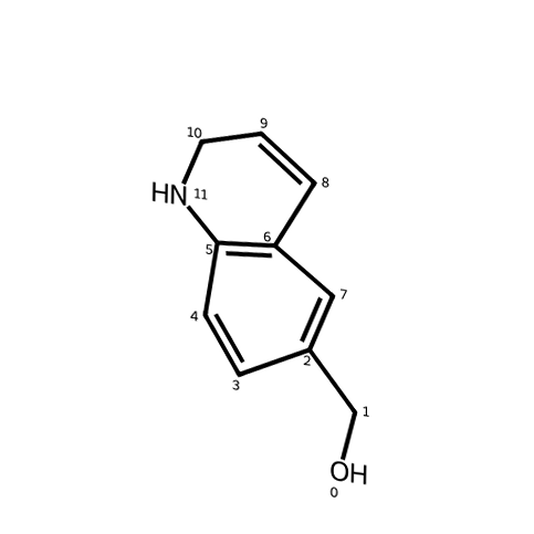 OCc1ccc2c(c1)C=CCN2